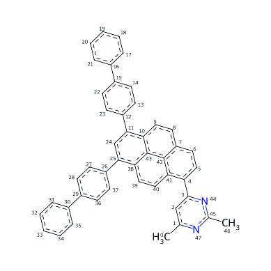 Cc1cc(-c2ccc3ccc4c(-c5ccc(-c6ccccc6)cc5)cc(-c5ccc(-c6ccccc6)cc5)c5ccc2c3c45)nc(C)n1